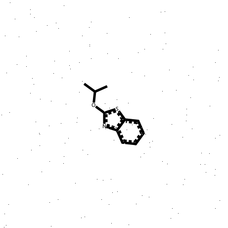 CC(C)Oc1nc2ccccc2s1